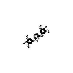 COc1cc(Nc2ccnc(Nc3cc(OC)c(OC)c(OC)c3)n2)cc(OC)c1OC